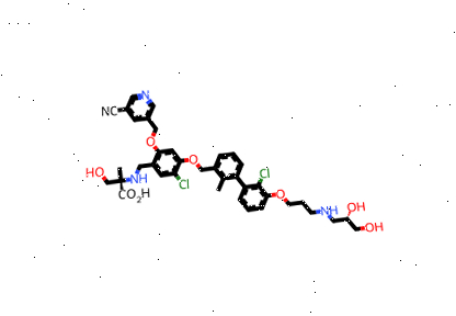 Cc1c(COc2cc(OCc3cncc(C#N)c3)c(CN[C@@](C)(CO)C(=O)O)cc2Cl)cccc1-c1cccc(OCCCNC[C@H](O)CO)c1Cl